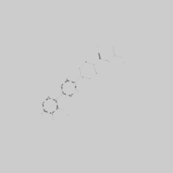 CC(NC(=O)C1CCN(c2ccc(-c3cccc(Cl)c3Cl)cn2)CC1)C(=O)O